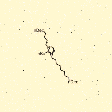 CCCCCCCCCCCCCCCCCCn1cc[n+](CCCCCCCCCCCCCC)c1CCCC